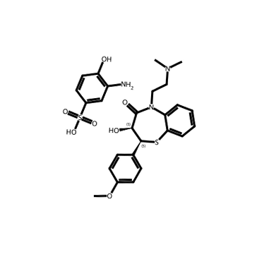 COc1ccc([C@@H]2Sc3ccccc3N(CCN(C)C)C(=O)[C@@H]2O)cc1.Nc1cc(S(=O)(=O)O)ccc1O